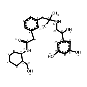 CC(C)(Cc1cccc(CC(=O)N[C@@H]2CCCC[C@@H]2CO)c1)NCC(O)c1cc(O)cc(O)c1